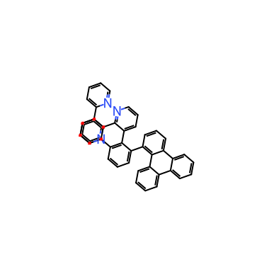 c1ccc(-c2cccc(-c3cccc4c5ccccc5c5ccccc5c34)c2-c2cccnc2-c2ncccc2-c2ccccn2)cc1